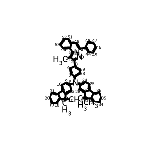 Cc1c(-c2ccc(N(c3ccc4c(c3)C(C)(C)c3ccccc3-4)c3ccc4c(c3)C(C)(C)c3ccccc3-4)cc2)nn2c(-c3ccccc3)cc3ccccc3c12